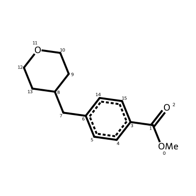 COC(=O)c1ccc(CC2CCOCC2)cc1